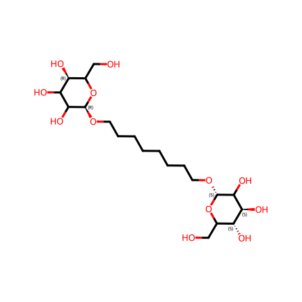 OCC1O[C@@H](OCCCCCCCCO[C@H]2OC(CO)[C@@H](O)[C@H](O)C2O)C(O)C(O)[C@H]1O